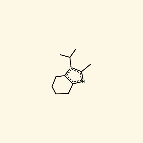 Cc1nc2c(n1C(C)C)CCCC2